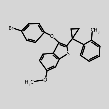 COc1ccc2c(Oc3ccc(Br)cc3)c(C3(c4ccccc4C)CC3)sc2c1